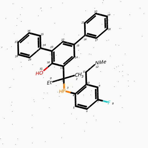 CCC(C)(Pc1ccc(F)cc1CNC)c1cc(-c2ccccc2)cc(-c2ccccc2)c1O